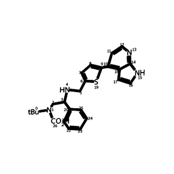 CC(C)(C)N(CC(NCc1ccc(-c2ccnc3[nH]ccc23)s1)c1ccccc1)C(=O)O